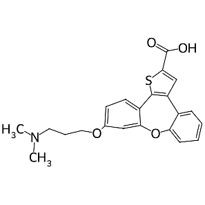 CN(C)CCCOc1ccc2c(c1)Oc1ccccc1-c1cc(C(=O)O)sc1-2